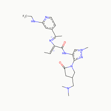 C/C=C(\N=C(/C)c1ccnc(NCC(F)(F)F)c1)C(=O)Nc1cn(C)nc1N1CC(CN(C)C)CC1=O